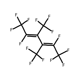 FC(=C(C(=C(F)C(F)(F)F)C(F)(F)F)C(F)(F)F)C(F)(F)F